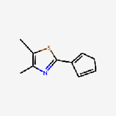 Cc1nc(C2=CCC=C2)sc1C